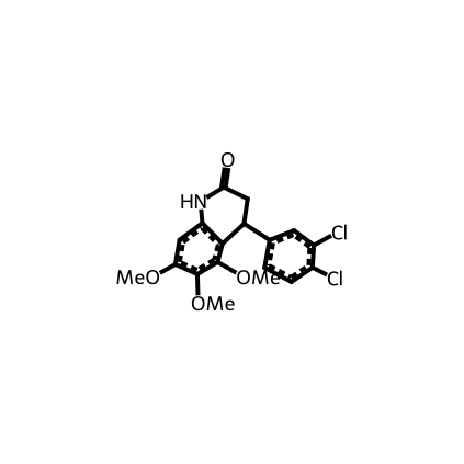 COc1cc2c(c(OC)c1OC)C(c1ccc(Cl)c(Cl)c1)CC(=O)N2